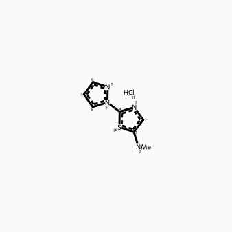 CNc1cnc(-n2cccn2)s1.Cl